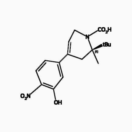 CC(C)(C)[C@@]1(C)CC(c2ccc([N+](=O)[O-])c(O)c2)=CCN1C(=O)O